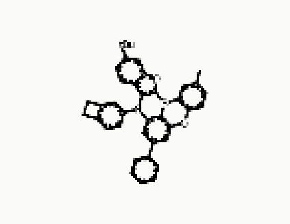 Cc1ccc2c(c1)B1c3oc4cc(C(C)(C)C)ccc4c3N(c3ccc4c(c3)CC4)c3cc(-c4ccccc4)cc(c31)O2